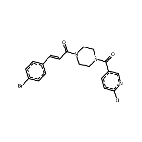 O=C(/C=C/c1ccc(Br)cc1)N1CCN(C(=O)c2ccc(Cl)nc2)CC1